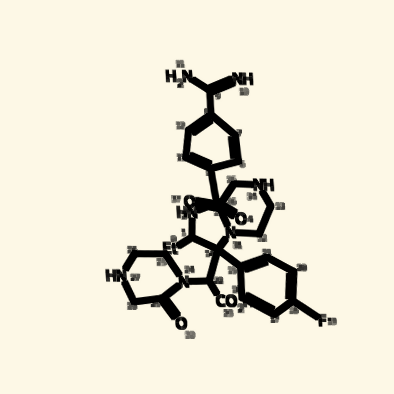 CCC(NC(=O)c1ccc(C(=N)N)cc1)C(c1ccc(F)cc1)(C(C(=O)O)N1CCNCC1=O)N1CCNCC1=O